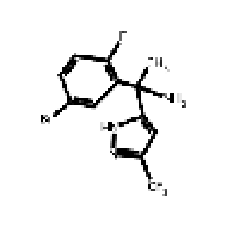 CC(N)(c1cc(C(F)(F)F)n[nH]1)c1cc(Br)ccc1F